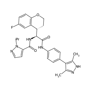 Cc1n[nH]c(C)c1-c1ccc(NC(=O)[C@@H](NC(=O)c2ccnn2C(C)C)[C@H]2CCOc3ccc(F)cc32)cc1